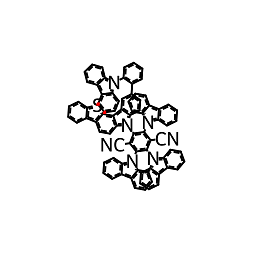 N#Cc1c(-n2c3ccccc3c3ccccc32)c(-n2c3ccccc3c3ccccc32)c(C#N)c(-n2c3ccc(-c4ccccc4-n4c5ccccc5c5ccccc54)cc3c3c4sc5ccccc5c4ccc32)c1-n1c2ccccc2c2ccccc21